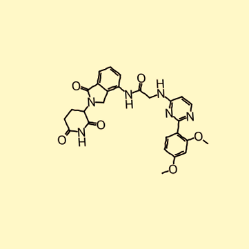 COc1ccc(-c2nccc(NCC(=O)Nc3cccc4c3CN(C3CCC(=O)NC3=O)C4=O)n2)c(OC)c1